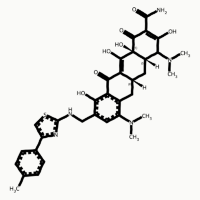 Cc1ccc(-c2csc(NCc3cc(N(C)C)c4c(c3O)C(=O)C3=C(O)[C@]5(O)C(=O)C(C(N)=O)=C(O)C(N(C)C)[C@@H]5C[C@@H]3C4)n2)cc1